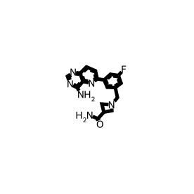 NC(=O)C1CN(Cc2cc(F)cc(-c3ccc4ncnc(N)c4n3)c2)C1